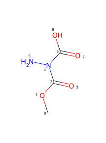 COC(=O)N(N)C(=O)O